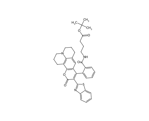 CC(C)(C)OC(=O)CCCNC(=O)c1ccccc1-c1c(-c2nc3ccccc3s2)c(=O)oc2c3c4c(cc12)CCCN4CCC3